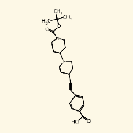 CC(C)(C)OC(=O)N1CCC(N2CCC(C#Cc3ccc(C(=O)O)cc3)CC2)CC1